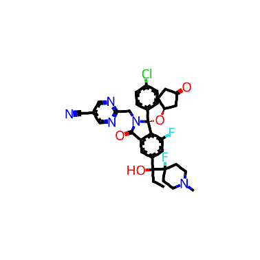 CCC(O)(c1cc(F)c2c(c1)C(=O)N(Cc1ncc(C#N)cn1)[C@@]2(O[C@H]1CCC(=O)C1)c1ccc(Cl)cc1)C1(F)CCN(C)CC1